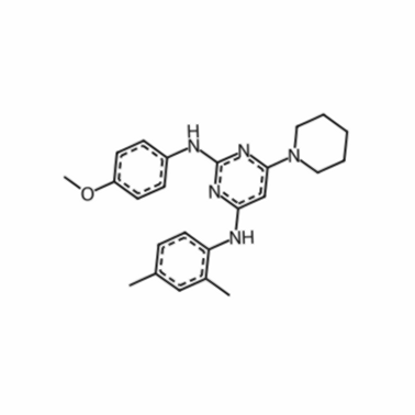 COc1ccc(Nc2nc(Nc3ccc(C)cc3C)cc(N3CCCCC3)n2)cc1